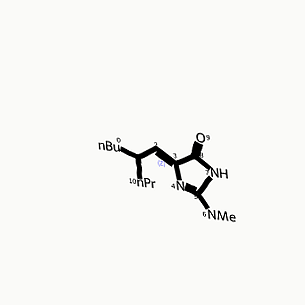 CCCCC(/C=C1\N=C(NC)NC1=O)CCC